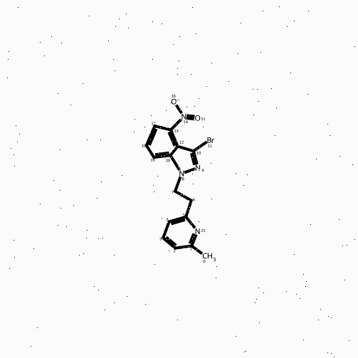 Cc1cccc(CCn2nc(Br)c3c([N+](=O)[O-])cccc32)n1